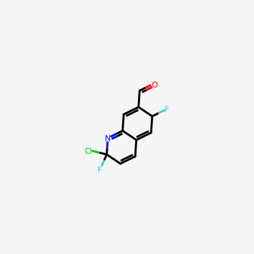 O=CC1=CC2=NC(F)(Cl)C=CC2=CC1F